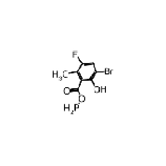 Cc1c(F)cc(Br)c(O)c1C(=O)OP